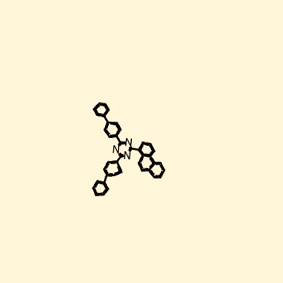 c1ccc(-c2ccc(-c3nc(-c4ccc(-c5ccccc5)cc4)nc(-c4cccc5c4ccc4ccccc45)n3)cc2)cc1